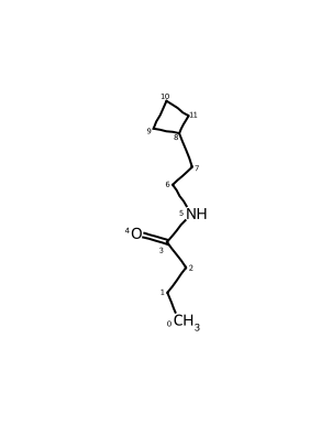 CCCC(=O)NCCC1CCC1